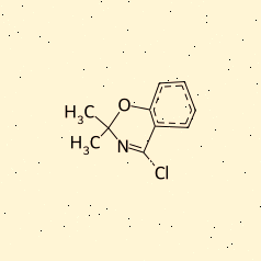 CC1(C)N=C(Cl)c2ccccc2O1